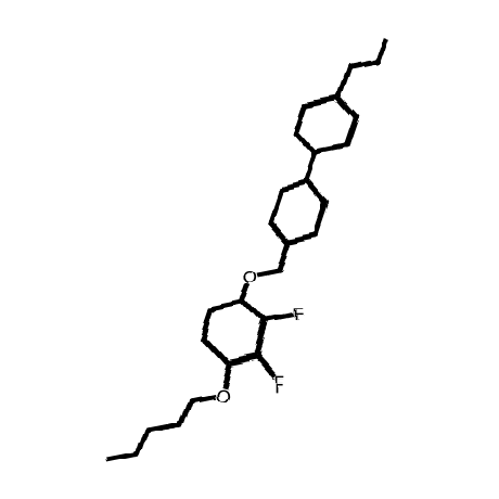 CCCCCOC1CCC(OCC2CCC(C3CCC(CCC)CC3)CC2)C(F)C1F